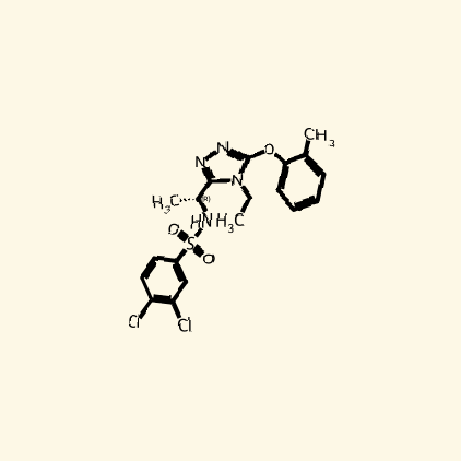 CCn1c(Oc2ccccc2C)nnc1[C@@H](C)NS(=O)(=O)c1ccc(Cl)c(Cl)c1